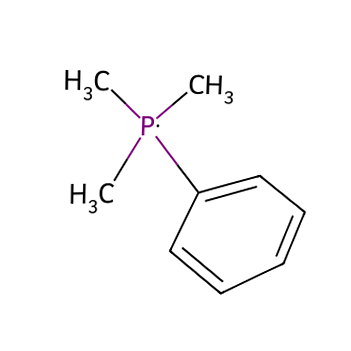 C[P](C)(C)c1ccccc1